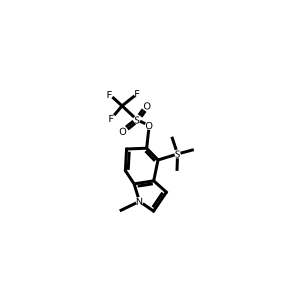 Cn1ccc2c(S(C)(C)C)c(OS(=O)(=O)C(F)(F)F)ccc21